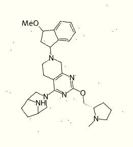 COC1CC(N2CCc3c(nc(OC[C@@H]4CCCN4C)nc3N3CC4CCC(C3)N4)C2)c2ccccc21